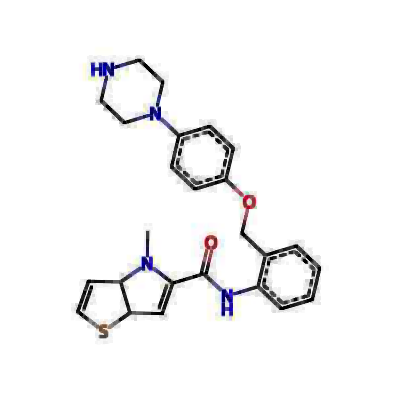 CN1C(C(=O)Nc2ccccc2COc2ccc(N3CCNCC3)cc2)=CC2SC=CC21